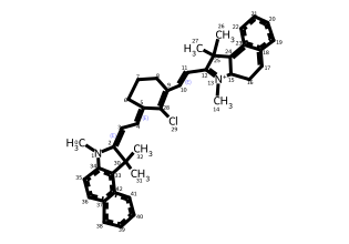 CN1/C(=C/C=C2\CCCC(/C=C/C3=[N+](C)C4CC=c5ccccc5=C4C3(C)C)=C2Cl)C(C)(C)c2c1ccc1ccccc21